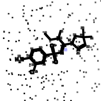 CCN(C)/C(=N\S(=O)(=O)c1ccc(N)c(Cl)c1)N1CC(C)(C)C=N1